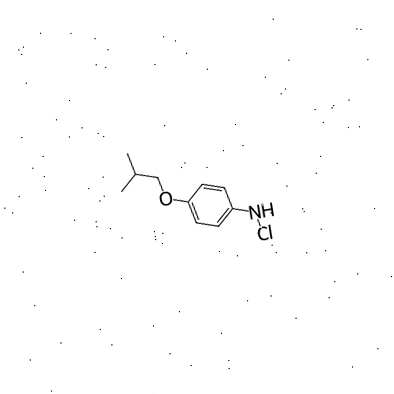 CC(C)COc1ccc(NCl)cc1